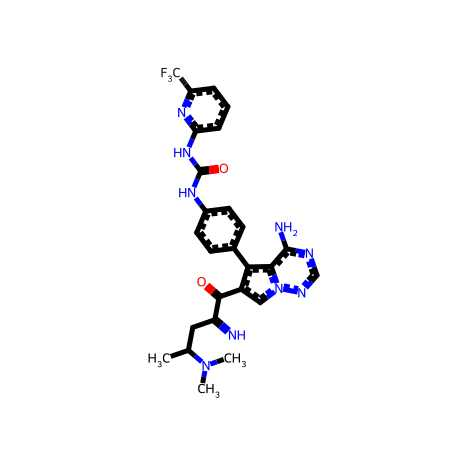 CC(CC(=N)C(=O)c1cn2ncnc(N)c2c1-c1ccc(NC(=O)Nc2cccc(C(F)(F)F)n2)cc1)N(C)C